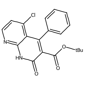 CC(C)(C)OC(=O)c1c(-c2ccccc2)c2c(Cl)ccnc2[nH]c1=O